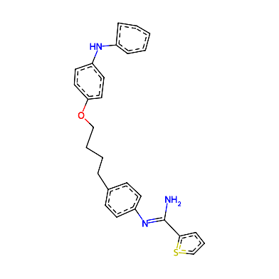 N/C(=N\c1ccc(CCCCOc2ccc(Nc3ccccc3)cc2)cc1)c1cccs1